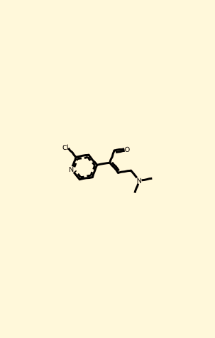 CN(C)CC=C(C=O)c1ccnc(Cl)c1